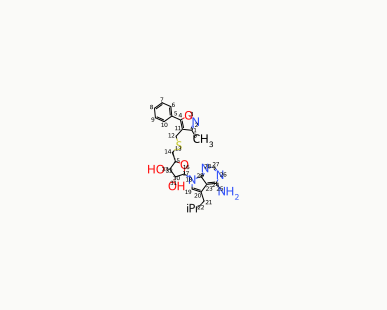 Cc1noc(-c2ccccc2)c1CSC[C@H]1O[C@@H](n2cc(CC(C)C)c3c(N)ncnc32)[C@H](O)[C@@H]1O